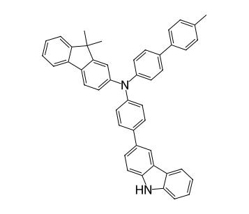 Cc1ccc(-c2ccc(N(c3ccc(-c4ccc5[nH]c6ccccc6c5c4)cc3)c3ccc4c(c3)C(C)(C)c3ccccc3-4)cc2)cc1